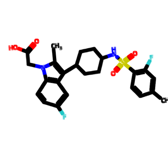 Cc1ccc(S(=O)(=O)NC2CCC(c3c(C)n(CC(=O)O)c4ccc(F)cc34)CC2)c(F)c1